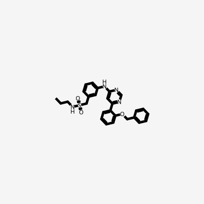 CCCNS(=O)(=O)Cc1cccc(Nc2cc(-c3ccccc3OCc3ccccc3)ncn2)c1